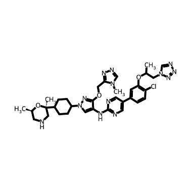 CC(Cn1cnnn1)Oc1cc(-c2cnc(Nc3cn(C4CCC([C@@]5(C)CNC[C@@H](C)O5)CC4)nc3OCc3nncn3C)nc2)ccc1Cl